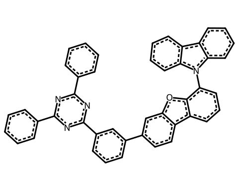 c1ccc(-c2nc(-c3ccccc3)nc(-c3cccc(-c4ccc5c(c4)oc4c(-n6c7ccccc7c7ccccc76)cccc45)c3)n2)cc1